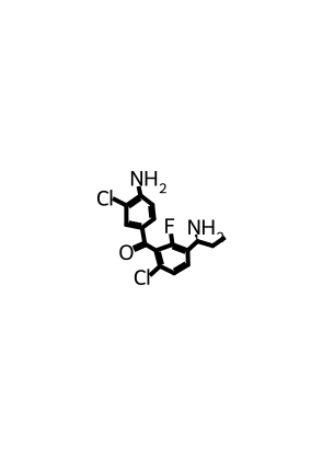 CC[C@@H](N)c1ccc(Cl)c(C(=O)c2ccc(N)c(Cl)c2)c1F